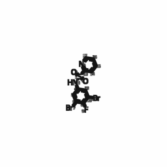 O=S(=O)(Nc1cc(Br)c(F)c(Br)c1)c1ccccn1